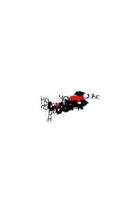 CC(=O)OC(C)(C)C1OC23OC1C[C@@H](C)[C@@H]2[C@@]1(C)CC[C@@]24C[C@@]25CC[C@H](O[C@@H]2OC[C@@H](O)[C@H](O)[C@H]2O)C(C)(C)[C@@H]5CC[C@H]4[C@]1(C)[C@H]3O